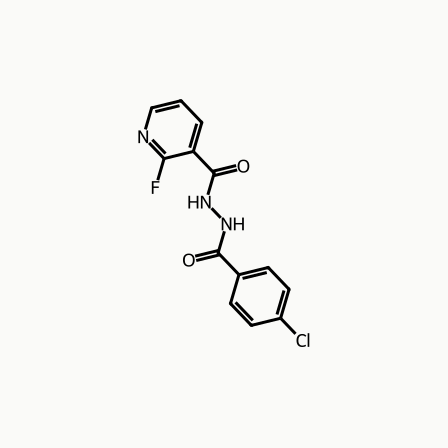 O=C(NNC(=O)c1cccnc1F)c1ccc(Cl)cc1